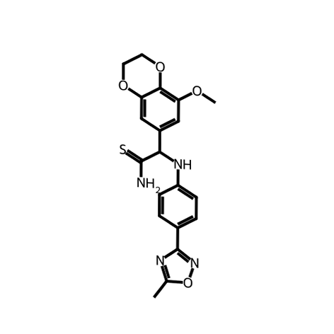 COc1cc(C(Nc2ccc(-c3noc(C)n3)cc2)C(N)=S)cc2c1OCCO2